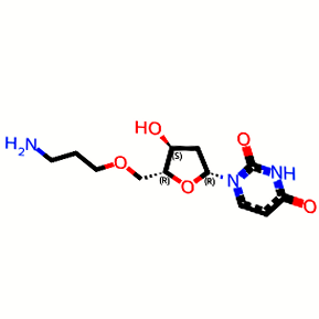 NCCCOC[C@H]1O[C@@H](n2ccc(=O)[nH]c2=O)C[C@@H]1O